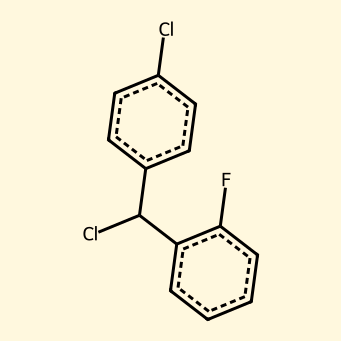 Fc1ccccc1C(Cl)c1ccc(Cl)cc1